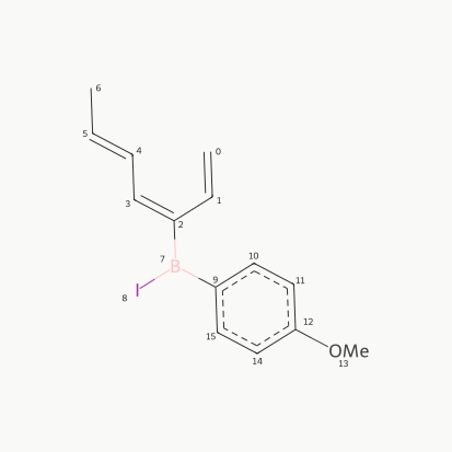 C=C/C(=C\C=C\C)B(I)c1ccc(OC)cc1